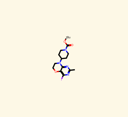 Cc1nc(I)c2c(n1)N(C1CCN(C(=O)OC(C)(C)C)CC1)CCO2